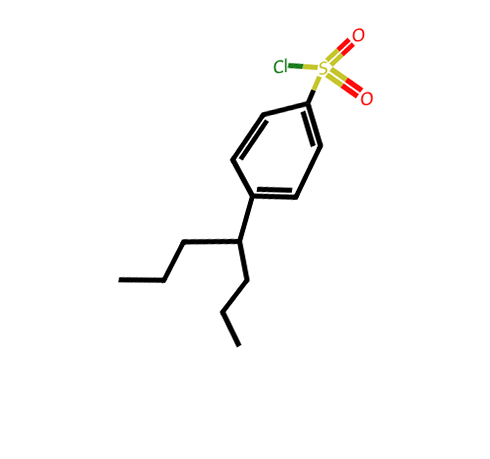 CCCC(CCC)c1ccc(S(=O)(=O)Cl)cc1